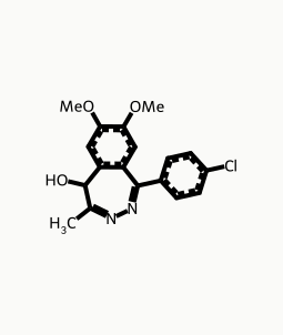 COc1cc2c(cc1OC)C(O)C(C)=NN=C2c1ccc(Cl)cc1